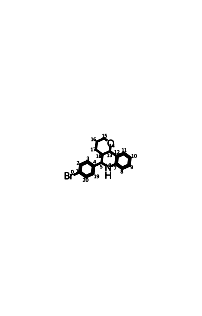 Brc1ccc(C2Nc3ccccc3C3OCCCC23)cc1